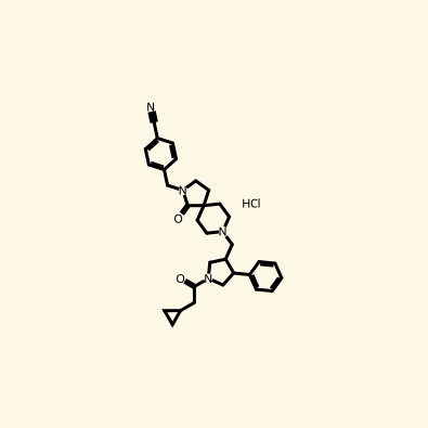 Cl.N#Cc1ccc(CN2CCC3(CCN(CC4CN(C(=O)CC5CC5)CC4c4ccccc4)CC3)C2=O)cc1